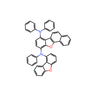 c1ccc(N(c2ccc(N(c3ccccc3)c3ccccc3)c3c2oc2c4ccccc4ccc23)c2cccc3oc4ccccc4c23)cc1